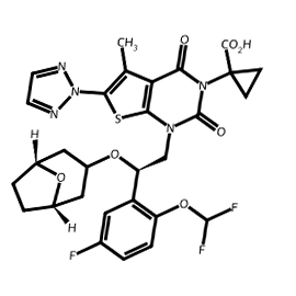 Cc1c(-n2nccn2)sc2c1c(=O)n(C1(C(=O)O)CC1)c(=O)n2C[C@H](OC1C[C@H]2CC[C@@H](C1)O2)c1cc(F)ccc1OC(F)F